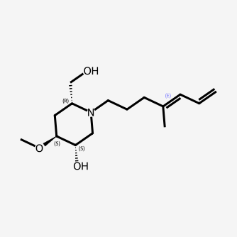 C=C/C=C(\C)CCCN1C[C@H](O)[C@@H](OC)C[C@@H]1CO